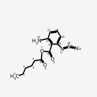 CCCCCC(=O)OC(=O)c1c(N)cccc1N=[N+]=[N-]